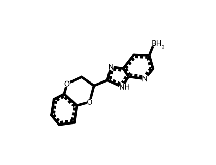 Bc1cnc2[nH]c(C3COc4ccccc4O3)nc2c1